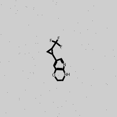 FC(F)(F)C1CC1c1cnc2c(c1)OCCN2